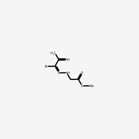 CC(=N)/C(Br)=N\NCC(=O)OC(C)(C)C